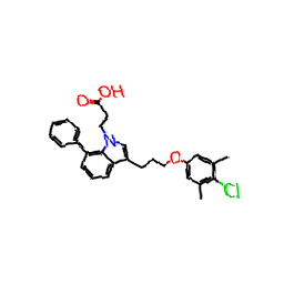 Cc1cc(OCCCc2cn(CCC(=O)O)c3c(-c4ccccc4)cccc23)cc(C)c1Cl